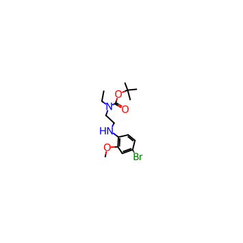 CCN(CCNc1ccc(Br)cc1OC)C(=O)OC(C)(C)C